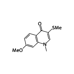 COc1ccc2c(=O)c(SC)cn(C)c2c1